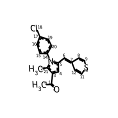 CC(=O)c1cc(C=C2C=CSC=C2)n(-c2ccc(Cl)cc2)c1C